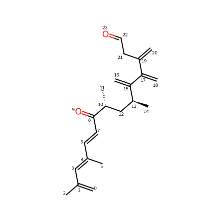 C=C(C)/C=C(C)/C=C/C(=O)[C@H](C)C[C@H](C)C(=C)C(=C)C(=C)CC=O